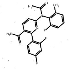 Cc1cccc(F)c1N(C(N)=O)c1ccc(C(N)=O)c(-c2ccc(F)cc2F)n1